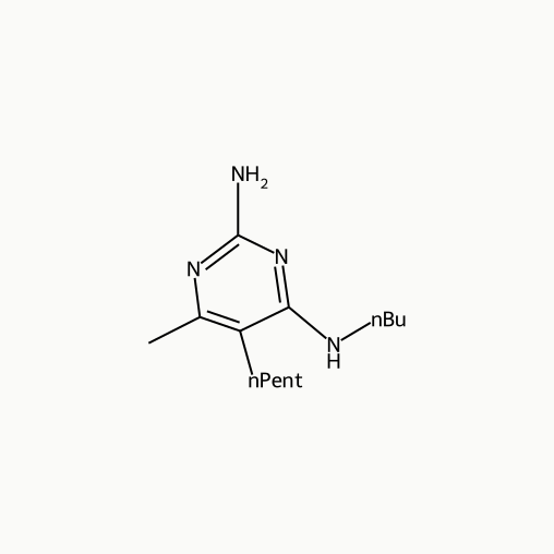 CCCCCc1c(C)nc(N)nc1NCCCC